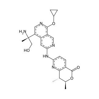 C[C@@H]1OC(=O)c2ccc(Nc3cc4c([C@@](C)(N)CO)cnc(OC5CC5)c4cn3)nc2[C@H]1C